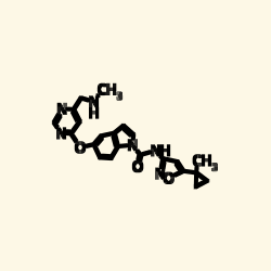 CNCc1cc(Oc2ccc3c(ccn3C(=O)Nc3cc(C4(C)CC4)on3)c2)ncn1